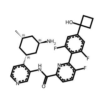 C[C@@H]1C[C@@H](N)C[C@H](c2ccncc2NC(=O)c2ccc(F)c(-c3c(F)cc(C4(O)CCC4)cc3F)n2)C1